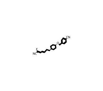 N#C/C(F)=C/C=C/CC[C@H]1CC[C@H](OCc2ccc(C#N)cc2)CC1